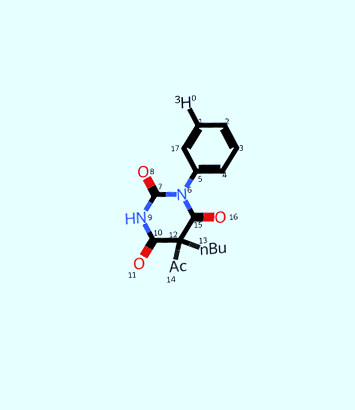 [3H]c1cccc(N2C(=O)NC(=O)C(CCCC)(C(C)=O)C2=O)c1